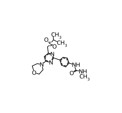 CNC(=O)Nc1ccc(-c2nc(CS(=O)(=O)C(C)C)cc(N3CCOCC3)n2)cc1